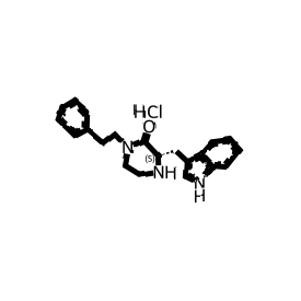 Cl.O=C1[C@H](Cc2c[nH]c3ccccc23)NCCN1CCc1ccccc1